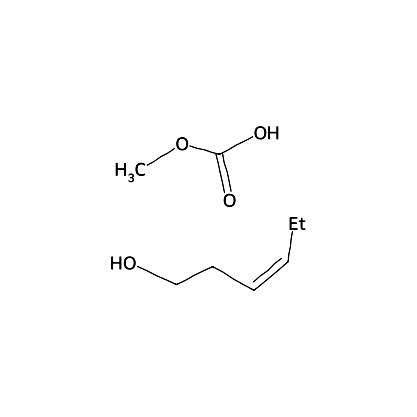 CC/C=C\CCO.COC(=O)O